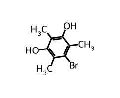 Cc1c(O)c(C)c(Br)c(C)c1O